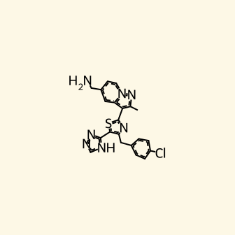 Cc1nn2ccc(CN)cc2c1-c1nc(Cc2ccc(Cl)cc2)c(-c2nnc[nH]2)s1